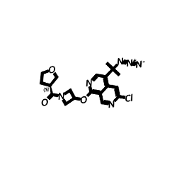 CC(C)(N=[N+]=[N-])c1cnc(OC2CN(C(=O)[C@H]3CCOC3)C2)c2cnc(Cl)cc12